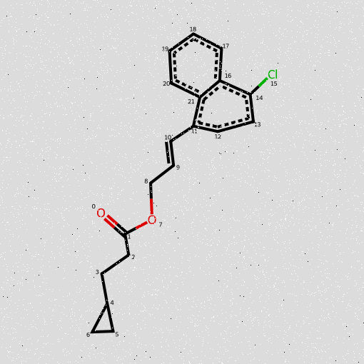 O=C(CCC1CC1)OCC=Cc1ccc(Cl)c2ccccc12